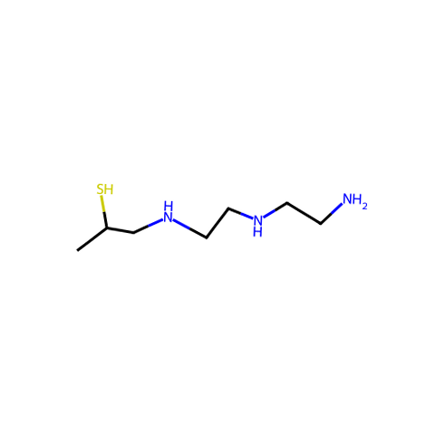 CC(S)CNCCNCCN